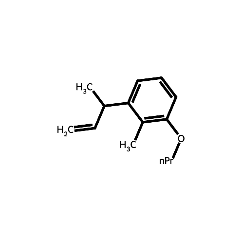 C=C[C](C)c1cccc(OCCC)c1C